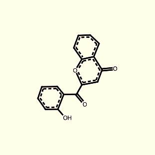 O=C(c1cc(=O)c2ccccc2o1)c1ccccc1O